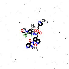 Cc1ccc(CCOC(=O)[C@H](Cc2ccc(-n3c(=O)c4ccncc4n(C)c3=O)c3ncccc23)NC(=O)c2c(C)cc(N3CCOC[C@@H]3C(F)(F)F)cc2F)cn1